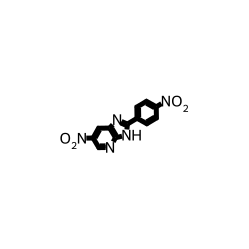 O=[N+]([O-])c1ccc(-c2nc3cc([N+](=O)[O-])cnc3[nH]2)cc1